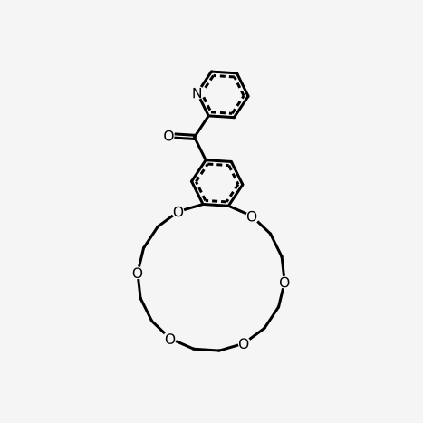 O=C(c1ccc2c(c1)OCCOCCOCCOCCOCCO2)c1ccccn1